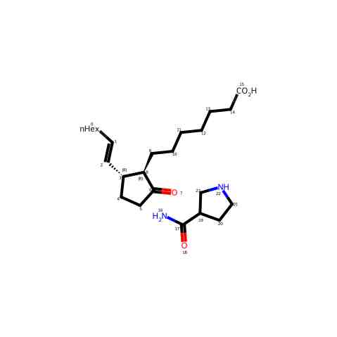 CCCCCCC=C[C@H]1CCC(=O)[C@@H]1CCCCCCC(=O)O.NC(=O)C1CCNC1